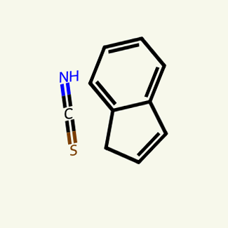 C1=Cc2ccccc2C1.N=C=S